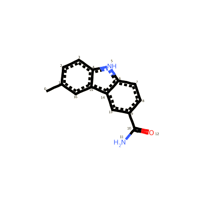 Cc1ccc2[nH]c3ccc(C(N)=O)cc3c2c1